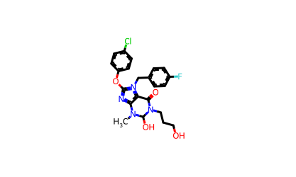 CN1c2nc(Oc3ccc(Cl)cc3)n(Cc3ccc(F)cc3)c2C(=O)N(CCCO)C1O